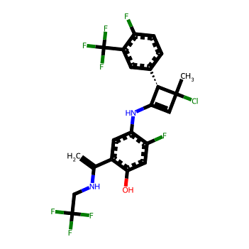 C=C(NCC(F)(F)F)c1cc(NC2=CC(C)(Cl)[C@H]2c2ccc(F)c(C(F)(F)F)c2)c(F)cc1O